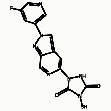 O=c1[nH]n(-c2cc3cn(-c4cncc(F)c4)nc3cn2)c(=O)n1S